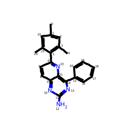 Cc1cc(C)c(-c2ccc3nc(N)nc(-c4ccccc4)c3n2)c(C)c1